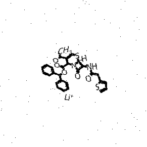 CC([O-])C1=CS[C@H]2C(NC(=O)Cc3cccs3)C(=O)N2C1C(=O)OC(c1ccccc1)c1ccccc1.[Li+]